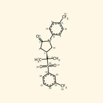 CC(C)([C@H]1CC(=O)N(c2ccc(C(F)(F)F)cc2)C1)S(=O)(=O)c1cccc(C(F)(F)F)c1